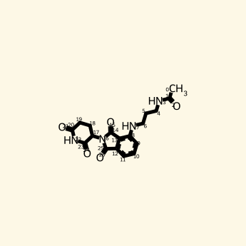 CC(=O)NCCCNc1cccc2c1C(=O)N(C1CCC(=O)NC1=O)C2=O